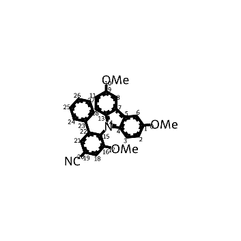 COc1ccc2c(c1)c1cc(OC)ccc1n2-c1c(OC)cc(C#N)cc1-c1ccccc1